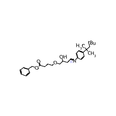 CC(C)(C)CC(C)(C)c1ccc(/N=C/CC(O)COCCCC(=O)OCc2ccccc2)cc1